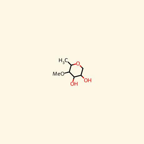 COC1C(C)OCC(O)C1O